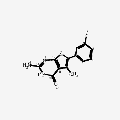 Cc1c(-c2cccc(F)c2)sc2nc(N)[nH]c(=O)c12